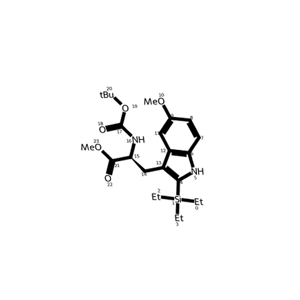 CC[Si](CC)(CC)c1[nH]c2ccc(OC)cc2c1C[C@H](NC(=O)OC(C)(C)C)C(=O)OC